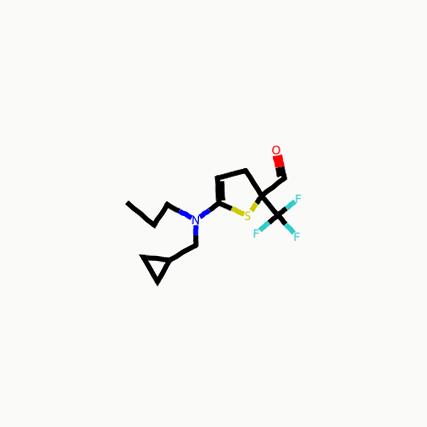 CCCN(CC1CC1)C1=CCC(C=O)(C(F)(F)F)S1